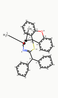 Cc1cc(C)c2c(c1)N=C(C(c1ccccc1)c1ccccc1)SC21c2ccccc2Oc2ccccc21